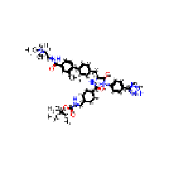 Cc1cc(C(=O)NCC[N+](C)(C)C)ccc1-c1ccc(C[C@H](NC(=O)C2CCC(CNC(=O)OC(C)(C)C)CC2)C(=O)Nc2ccc(-c3nn[nH]n3)cc2)cc1